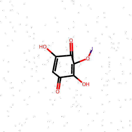 O=C1C=C(O)C(=O)C(OI)=C1O